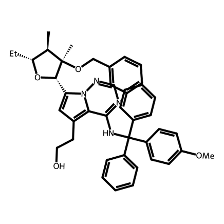 CC[C@H]1O[C@@H](c2cc(CCO)c3c(NC(c4ccccc4)(c4ccccc4)c4ccc(OC)cc4)ncnn23)[C@](C)(OCc2ccccc2)[C@@H]1C